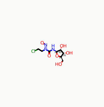 O=NN(CCCl)C(=O)N[C@@H]1O[C@H](CO)[C@@H](O)[C@H]1O